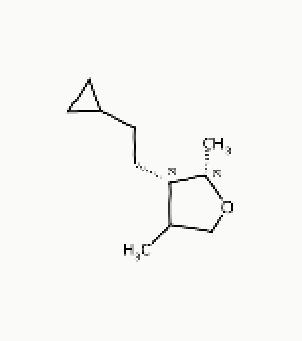 CC1CO[C@@H](C)[C@H]1CCC1CC1